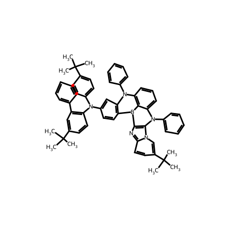 CC(C)(C)c1ccc(N(c2ccc3c(c2)N(c2ccccc2)c2cccc4c2B3c2nc3ccc(C(C)(C)C)cn3c2N4c2ccccc2)c2ccc(C(C)(C)C)cc2-c2ccccc2)cc1